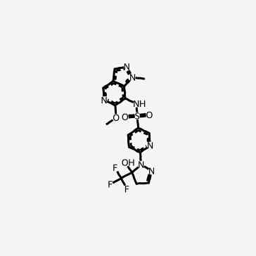 COc1ncc2cnn(C)c2c1NS(=O)(=O)c1ccc(N2N=CCC2(O)C(F)(F)F)nc1